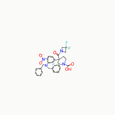 O=C(O)N1CCC(C(=O)N2CC(F)(F)C2)(c2ccc([N+](=O)[O-])c(N(Cc3ccccc3)Cc3ccccc3)c2F)CC1